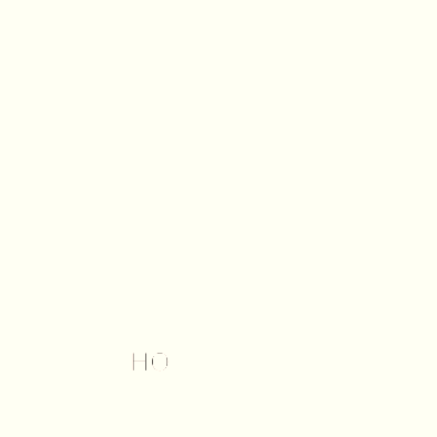 CC(CO)C1CC=CCC1